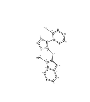 CCCn1c(Cn2ccnc2-c2ccccc2F)nc2ccccc21